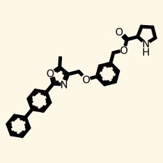 Cc1oc(-c2ccc(-c3ccccc3)cc2)nc1COc1cccc(COC(=O)C2CCCN2)c1